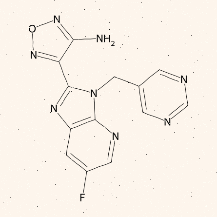 Nc1nonc1-c1nc2cc(F)cnc2n1Cc1cncnc1